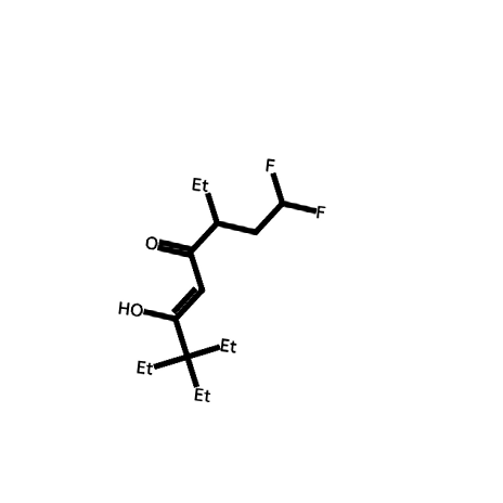 CCC(CC(F)F)C(=O)/C=C(\O)C(CC)(CC)CC